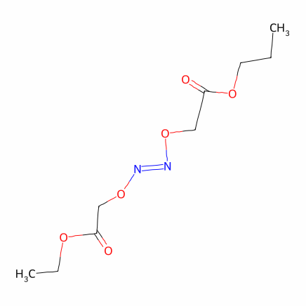 CCCOC(=O)CON=NOCC(=O)OCC